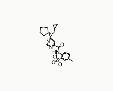 Cc1ccc(NC(=O)c2cc(N(CC3CC3)C3CCCCC3)ncn2)c(S(=O)(=O)Cl)c1